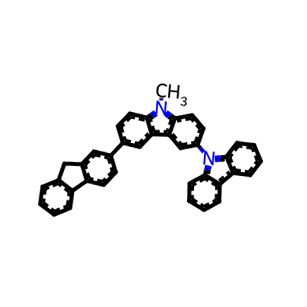 Cn1c2ccc(-c3ccc4c(c3)Cc3ccccc3-4)cc2c2cc(-n3c4ccccc4c4ccccc43)ccc21